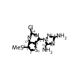 CSc1csc2c(-n3nc(N)nc3N)nc(Cl)nc12